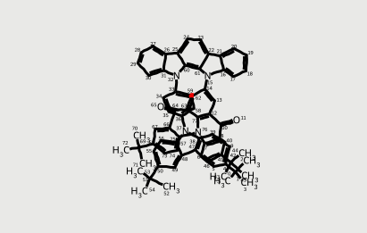 CC(C)(C)c1ccc2c(c1)c(=O)c1cc(-n3c4ccccc4c4ccc5c6ccccc6n(-c6ccc(-n7c8ccc(C(C)(C)C)cc8c8cc(C(C)(C)C)ccc87)cc6)c5c43)cc3c(=O)c4cc(C(C)(C)C)ccc4n2c13